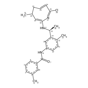 Cc1cccc(C(=O)Nc2ccc(C)c([C@H](C)NC3=C/C(C)C/C=C/C(Cl)=N\3)c2)c1